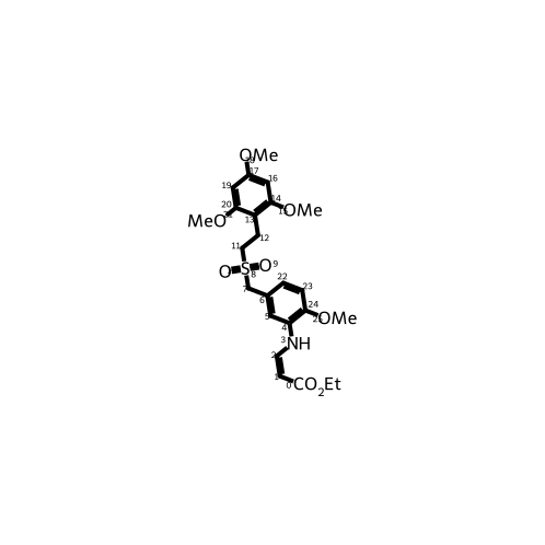 CCOC(=O)/C=C\Nc1cc(CS(=O)(=O)CCc2c(OC)cc(OC)cc2OC)ccc1OC